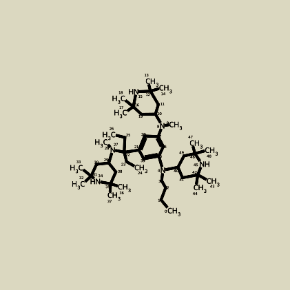 CCCCN(c1cc(N(C)C2CC(C)(C)NC(C)(C)C2)cc(C(CC)(CC)N(C)C2CC(C)(C)NC(C)(C)C2)c1)C1CC(C)(C)NC(C)(C)C1